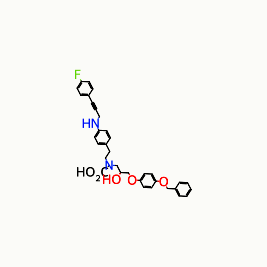 O=C(O)N(CCc1ccc(NCC#Cc2ccc(F)cc2)cc1)C[C@H](O)COc1ccc(OCc2ccccc2)cc1